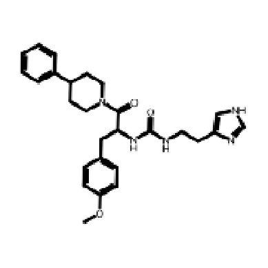 COc1ccc(CC(NC(=O)NCCc2c[nH]cn2)C(=O)N2CCC(c3ccccc3)CC2)cc1